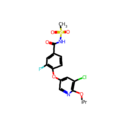 CC(C)Oc1ncc(Oc2ccc(C(=O)NS(C)(=O)=O)cc2F)cc1Cl